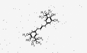 Cc1cc(CC=CCc2cc(C)c(O)c(C(C)(C)C)c2)cc(C(C)(C)C)c1O